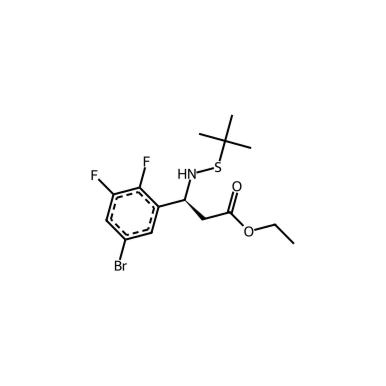 CCOC(=O)C[C@H](NSC(C)(C)C)c1cc(Br)cc(F)c1F